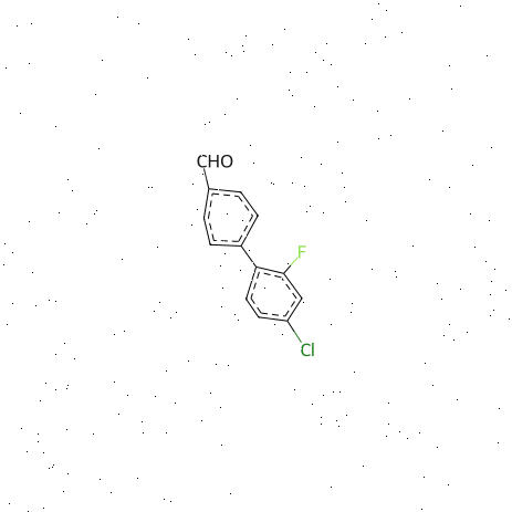 O=Cc1ccc(-c2ccc(Cl)cc2F)cc1